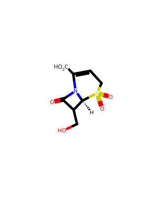 O=C(O)C1=CCS(=O)(=O)[C@H]2C(CO)C(=O)N12